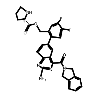 Nc1nc(C(=O)N2Cc3ccccc3C2)c2cc(-c3cc(F)c(F)cc3COC(=O)[C@@H]3CCCN3)ccc2n1